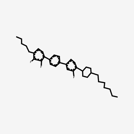 CCCCCCCC1CCC(c2ccc(-c3ccc(-c4ccc(CCCCC)c(F)c4F)cc3)cc2F)CC1